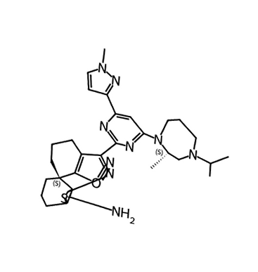 CC(C)N1CCCN(c2cc(-c3ccn(C)n3)nc(-c3noc4c3CCC[C@@]43CCCc4sc(N)c(C#N)c43)n2)[C@@H](C)C1